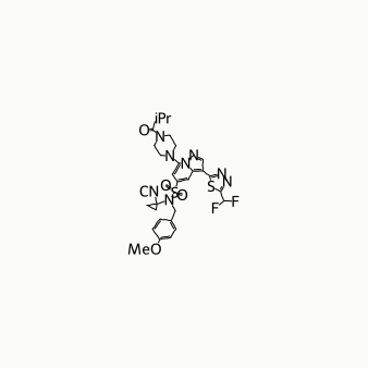 COc1ccc(CN(C2(C#N)CC2)S(=O)(=O)c2cc(N3CCN(C(=O)C(C)C)CC3)n3ncc(-c4nnc(C(F)F)s4)c3c2)cc1